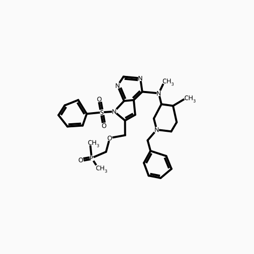 CC1CCN(Cc2ccccc2)CC1N(C)c1ncnc2c1cc(COCP(C)(C)=O)n2S(=O)(=O)c1ccccc1